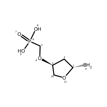 B[C@H]1C[C@H](OCP(=O)(O)O)CO1